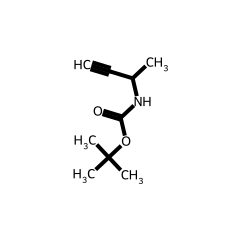 C#CC(C)NC(=O)OC(C)(C)C